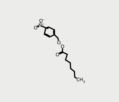 CCCCCCCC(=O)OOCc1ccc([N+](=O)[O-])cc1